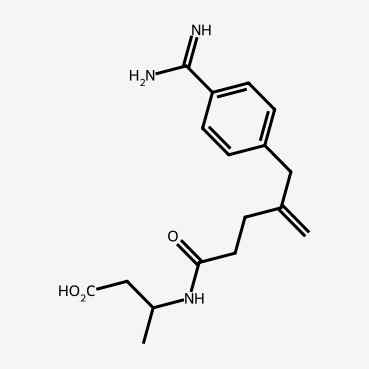 C=C(CCC(=O)NC(C)CC(=O)O)Cc1ccc(C(=N)N)cc1